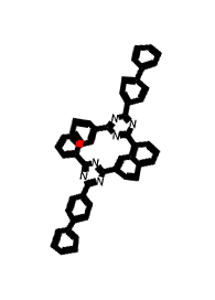 c1ccc(-c2ccc(-c3nc(-c4ccccc4)nc(-c4ccc5cccc(-c6nc(-c7ccccc7)nc(-c7ccc(-c8ccccc8)cc7)n6)c5c4)n3)cc2)cc1